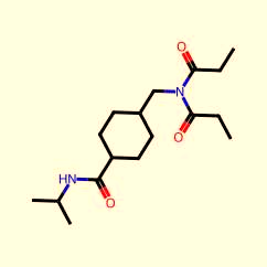 CCC(=O)N(CC1CCC(C(=O)NC(C)C)CC1)C(=O)CC